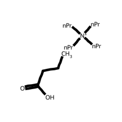 CCCC(=O)O.CCC[N+](CCC)(CCC)CCC